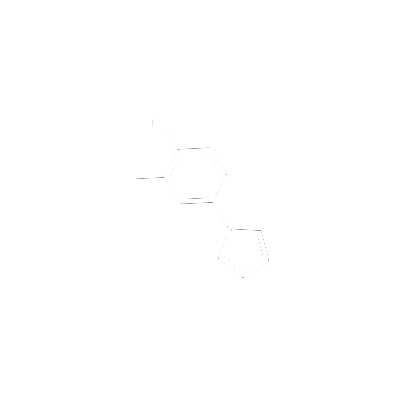 Brc1ccc(-n2c[c]cc2)cc1Br